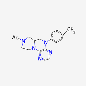 CC(=O)N1CCN2c3nccnc3N(c3ccc(C(F)(F)F)cc3)CC2C1